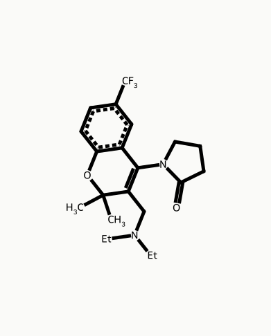 CCN(CC)CC1=C(N2CCCC2=O)c2cc(C(F)(F)F)ccc2OC1(C)C